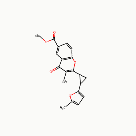 CCCc1c(C2CC2c2ccc(C)o2)oc2ccc(C(=O)OC(C)(C)C)cc2c1=O